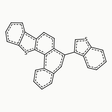 c1ccc2c(c1)cc(-c1csc3ccccc13)c1ccc3c4ccccc4sc3c12